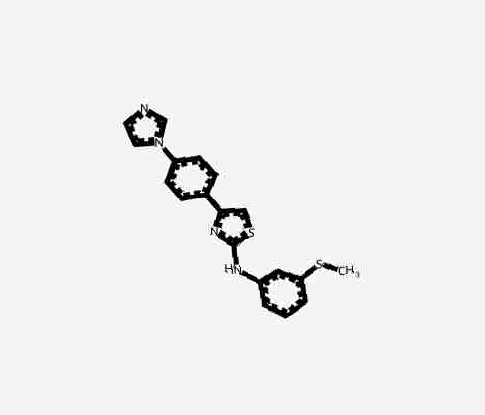 CSc1cccc(Nc2nc(-c3ccc(-n4ccnc4)cc3)cs2)c1